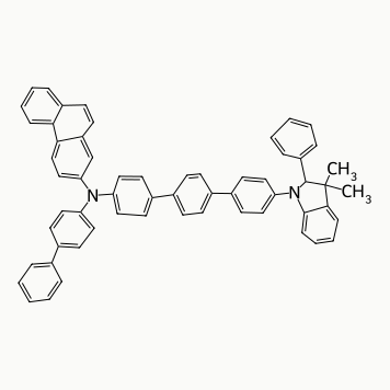 CC1(C)c2ccccc2N(c2ccc(-c3ccc(-c4ccc(N(c5ccc(-c6ccccc6)cc5)c5ccc6c(ccc7ccccc76)c5)cc4)cc3)cc2)C1c1ccccc1